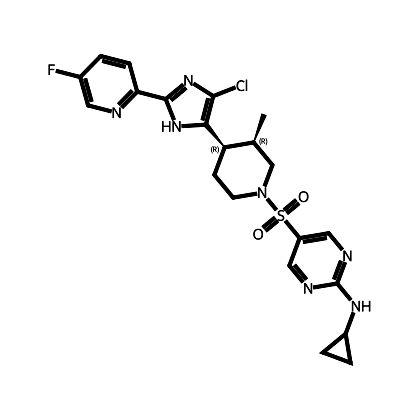 C[C@H]1CN(S(=O)(=O)c2cnc(NC3CC3)nc2)CC[C@H]1c1[nH]c(-c2ccc(F)cn2)nc1Cl